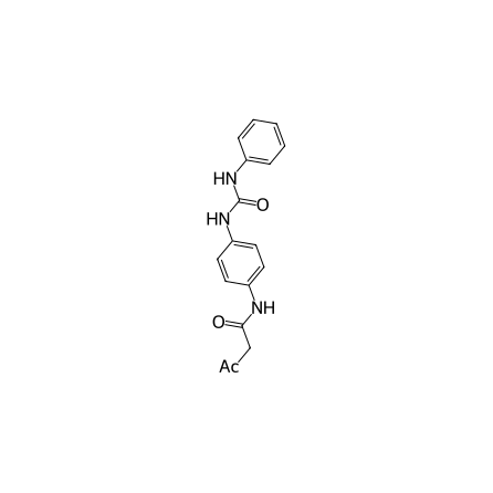 CC(=O)CC(=O)Nc1ccc(NC(=O)Nc2ccccc2)cc1